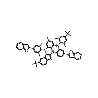 Cc1cc2c3c(c1)N(c1c(C)cc(-c4cc5ccccc5o4)cc1C)c1c(sc4ccc(C(C)(C)C)cc14)B3c1ccc(-c3cc4ccccc4o3)cc1N2c1c(C)cc(C(C)(C)C)cc1C